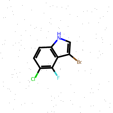 Fc1c(Cl)ccc2[nH]cc(Br)c12